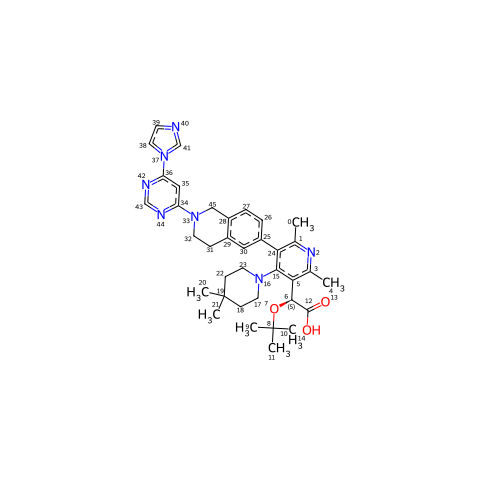 Cc1nc(C)c([C@H](OC(C)(C)C)C(=O)O)c(N2CCC(C)(C)CC2)c1-c1ccc2c(c1)CCN(c1cc(-n3ccnc3)ncn1)C2